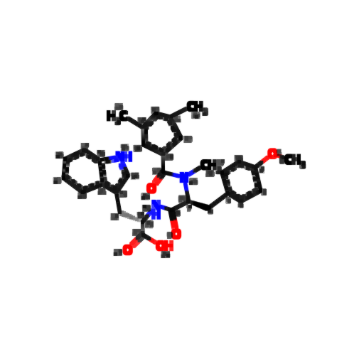 COc1ccc(C[C@@H](C(=O)N[C@@H](Cc2c[nH]c3ccccc23)C(=O)O)N(C)C(=O)c2cc(C)cc(C)c2)cc1